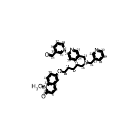 Cn1c(=O)ccc2cc(OCCCCCN(Cc3cccnc3)Cc3cccnc3)ccc21.O=Cc1cccnc1